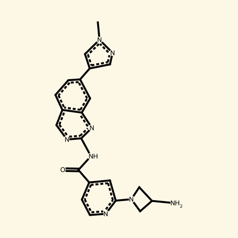 Cn1cc(-c2ccc3cnc(NC(=O)c4ccnc(N5CC(N)C5)c4)nc3c2)cn1